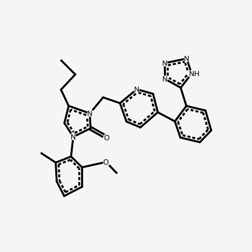 CCCc1cn(-c2c(C)cccc2OC)c(=O)n1Cc1ccc(-c2ccccc2-c2nnn[nH]2)cn1